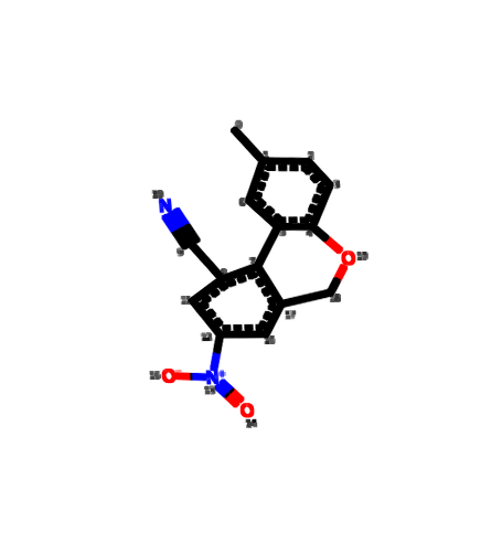 Cc1ccc2c(c1)-c1c(C#N)cc([N+](=O)[O-])cc1CO2